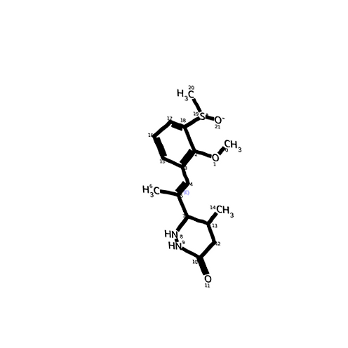 COc1c(/C=C(\C)C2NNC(=O)CC2C)cccc1[S+](C)[O-]